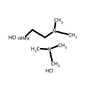 CCCCCCCCN(C)C.CN(C)C.Cl.Cl